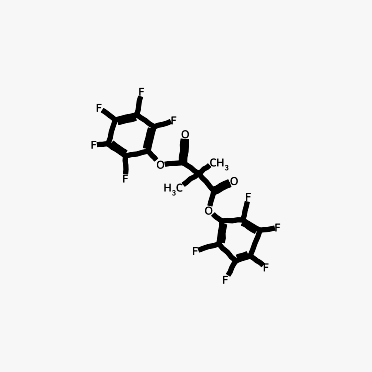 CC(C)(C(=O)Oc1c(F)c(F)c(F)c(F)c1F)C(=O)Oc1c(F)c(F)c(F)c(F)c1F